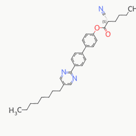 CCCCCCCCc1cnc(-c2ccc(-c3ccc(OC(=O)[C@H](C#N)CCCC)cc3)cc2)nc1